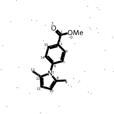 COC(=O)c1ccc(-n2c(C)ccc2C)cc1